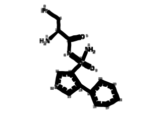 CC(C)C[C@H](N)C(=O)N=S(N)(=O)c1cscc1-c1ccccc1